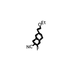 CCOC=Cc1ccc2cc(F)c(C#N)cc2c1